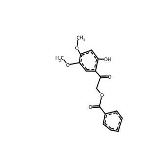 COc1cc(O)c(C(=O)COC(=O)c2ccccc2)cc1OC